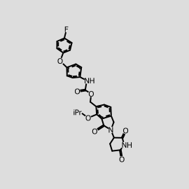 CC(C)Oc1c(COC(=O)Nc2ccc(Oc3ccc(F)cc3)cc2)ccc2c1C(=O)N(C1CCC(=O)NC1=O)C2